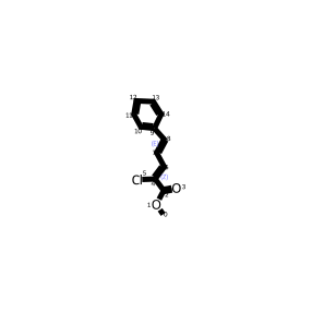 COC(=O)/C(Cl)=C/C=C/c1ccccc1